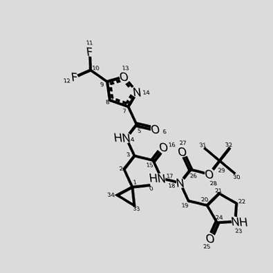 CC1(CC(NC(=O)c2cc(C(F)F)on2)C(=O)NN(CC2CCNC2=O)C(=O)OC(C)(C)C)CC1